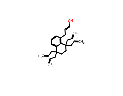 C=CCC1(CC=C)CCC(CC=C)(CC=C)c2c(CC=CO)cccc21